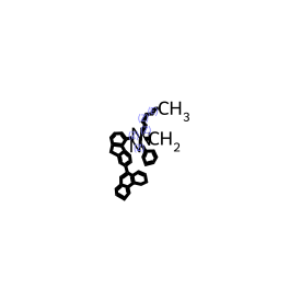 C=N\C(=N/C(=N\C=C/C=C\C=C\C)c1cccc2c1-c1ccc(-c3cc4ccccc4c4c3C=CCC4)cc1C2)c1ccccc1